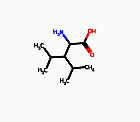 CC(C)C(C(C)C)C(N)C(=O)O